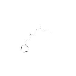 CC(CCN)CNC(=O)OCc1ccccc1